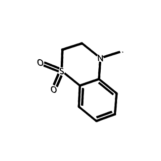 [CH2]N1CCS(=O)(=O)c2ccccc21